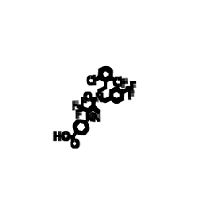 O=C(c1cnn([C@H]2CC[C@H](C(=O)O)CC2)c1C(F)(F)F)N(CCc1c(Cl)cccc1Cl)Cc1ccc(C(F)(F)F)cc1